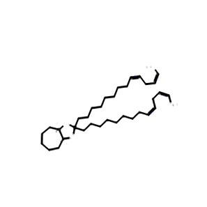 CCCC/C=C\C/C=C\CCCCCCCCC1(CCCCCCCC/C=C\C/C=C\CCCC)O[C@H]2CCCCC[C@H]2O1